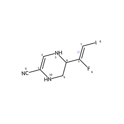 N#CC1=CNC(/C(F)=C/I)CN1